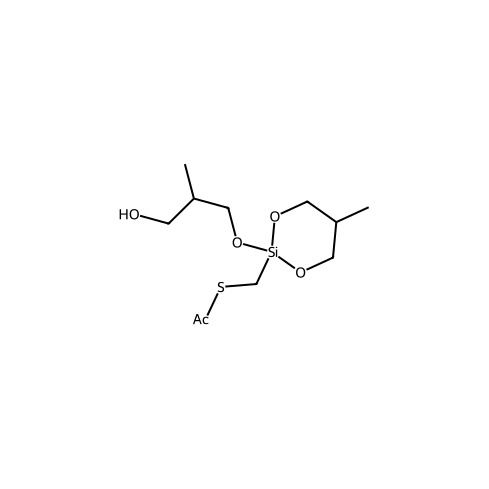 CC(=O)SC[Si]1(OCC(C)CO)OCC(C)CO1